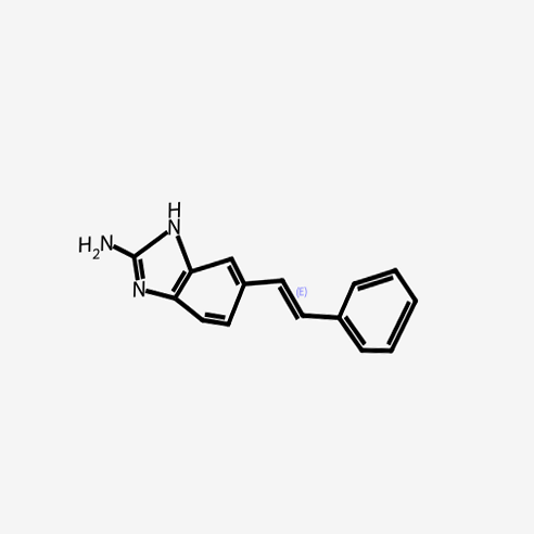 Nc1nc2ccc(/C=C/c3ccccc3)cc2[nH]1